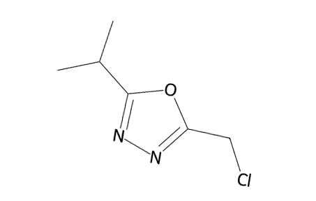 CC(C)c1nnc(CCl)o1